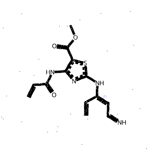 C=CC(=O)Nc1nc(N/C(C=C)=C/C=N)sc1C(=O)OC